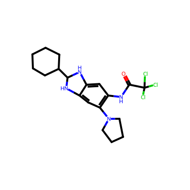 O=C(Nc1cc2c(cc1N1CCCC1)NC(C1CCCCC1)N2)C(Cl)(Cl)Cl